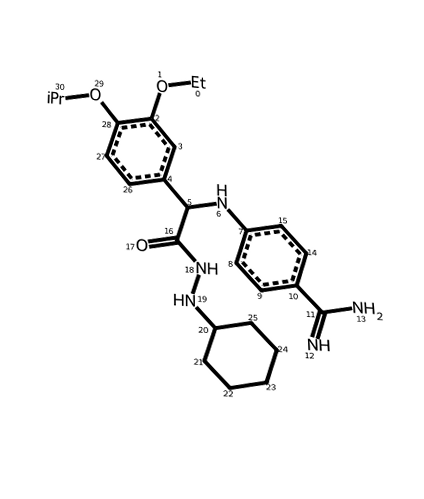 CCOc1cc(C(Nc2ccc(C(=N)N)cc2)C(=O)NNC2CCCCC2)ccc1OC(C)C